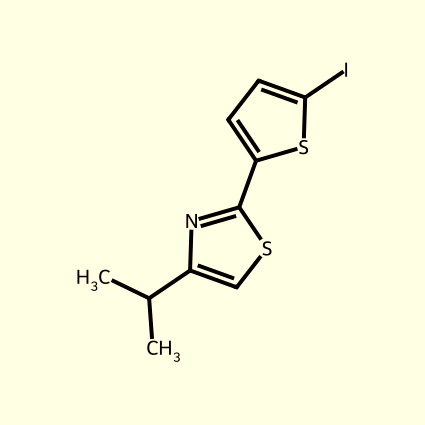 CC(C)c1csc(-c2ccc(I)s2)n1